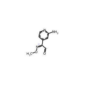 CO/N=C(\[C]=O)c1ccnc(N)c1